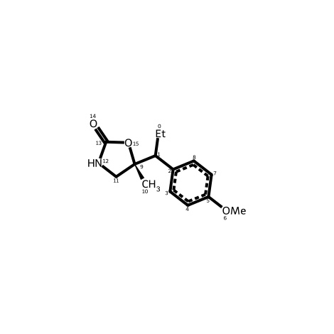 CCC(c1ccc(OC)cc1)[C@]1(C)CNC(=O)O1